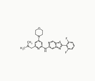 CN(C)Cc1cc(N2CCOCC2)cc(Nc2cc3nc(-c4c(F)cccc4F)sc3cn2)n1